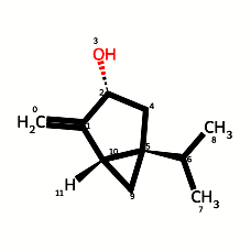 C=C1[C@H](O)C[C@]2(C(C)C)C[C@H]12